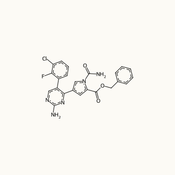 NC(=O)n1cc(-c2nc(N)ncc2-c2cccc(Cl)c2F)cc1C(=O)OCc1ccccc1